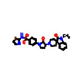 CN1C(=O)C2(CCN([C@H]3CCN(c4ccc(S(=O)(=O)Nc5nccs5)cc4)C3=O)CC2)c2ccccc21